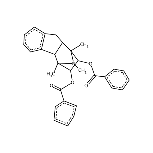 CN1C2(C)C3Cc4ccccc4C3C1(C)C(OC(=O)c1ccccc1)C2OC(=O)c1ccccc1